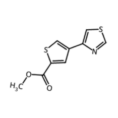 COC(=O)c1cc(-c2cscn2)cs1